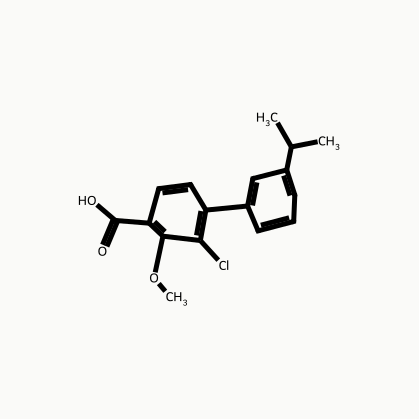 COc1c(C(=O)O)ccc(-c2cccc(C(C)C)c2)c1Cl